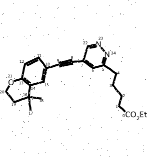 CCOC(=O)CCCCc1cc(C#Cc2ccc3c(c2)C(C)(C)CCO3)cnn1